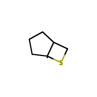 C1C[C]2SCC2C1